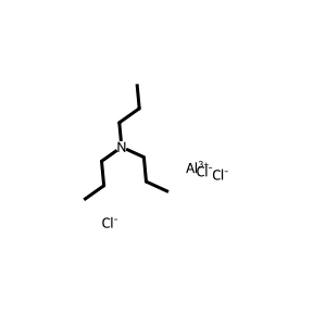 CCCN(CCC)CCC.[Al+3].[Cl-].[Cl-].[Cl-]